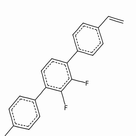 C=Cc1ccc(-c2ccc(-c3ccc(C)cc3)c(F)c2F)cc1